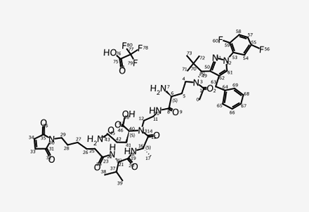 CC(=O)N(CC[C@H](N)C(=O)NCCN(C(=O)[C@H](C)NC(=O)[C@@H](NC(=O)CCCCCN1C(=O)C=CC1=O)C(C)C)[C@@H](CCC(N)=O)C(=O)O)[C@@H](c1nn(-c2cc(F)ccc2F)cc1Cc1ccccc1)C(C)(C)C.O=C(O)C(F)(F)F